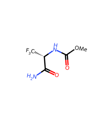 COC(=O)N[C@H](C(N)=O)C(F)(F)F